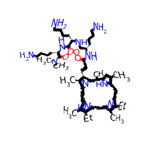 CCC1=C(C)c2cc3[nH]c(cc4nc(c(C)c5cc(C)c(cc1n2)[nH]5)[C@@H](CCC(=O)N[C@@H](CCCCN)C(=O)N[C@@H](CCCCN)C(=O)N[C@@H](CCCCN)C(=O)N(C)C)[C@@H]4C)c(C)c3CC